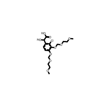 COCCOCOc1ccc(C(O)C(=O)O)c(Cl)c1OCOCCOC